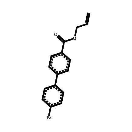 C=CCOC(=O)c1ccc(-c2ccc(Br)cc2)cc1